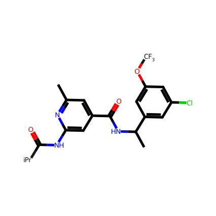 Cc1cc(C(=O)NC(C)c2cc(Cl)cc(OC(F)(F)F)c2)cc(NC(=O)C(C)C)n1